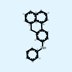 c1ccc(Nc2ccc3c(c2)Cc2cccc4cccc-3c24)cc1